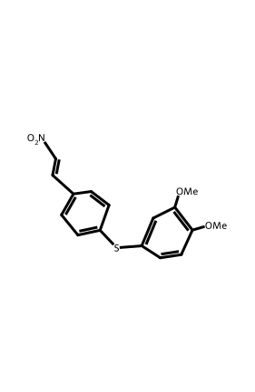 COc1ccc(Sc2ccc(C=C[N+](=O)[O-])cc2)cc1OC